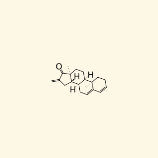 C=C1C[C@H]2[C@@H]3CC=C4C=CCC[C@]4(C)[C@@H]3CC[C@]2(C)C1=O